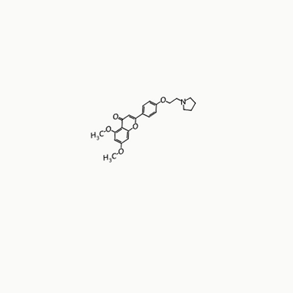 COc1cc(OC)c2c(=O)cc(-c3ccc(OCCN4CCCC4)cc3)oc2c1